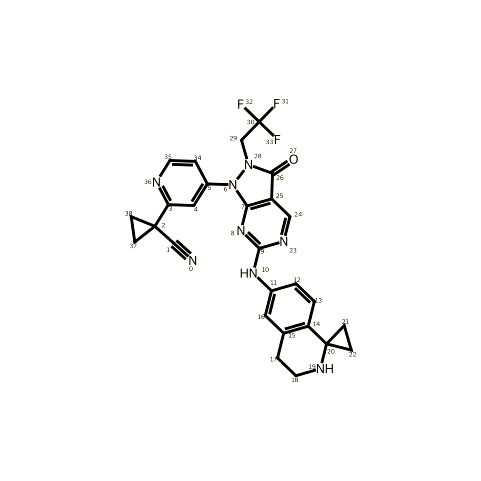 N#CC1(c2cc(-n3c4nc(Nc5ccc6c(c5)CCNC65CC5)ncc4c(=O)n3CC(F)(F)F)ccn2)CC1